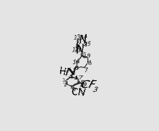 N#Cc1ccc(NC2CCC=C(n3ccnc3)C2)cc1C(F)(F)F